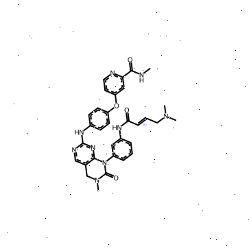 CNC(=O)c1cc(Oc2ccc(Nc3ncc4c(n3)N(c3cccc(NC(=O)/C=C/CN(C)C)c3)C(=O)N(C)C4)cc2)ccn1